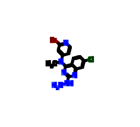 CN(c1ccnc(Br)c1)c1nc(NN)nc2cc(Cl)ccc12